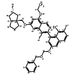 CCc1c(F)ccc2cc(OCOCc3ccccc3)cc(-c3ncc4c(OCC(F)(F)F)nc(OC[C@@]56CCCN5C[C@H](F)C6)nc4c3F)c12